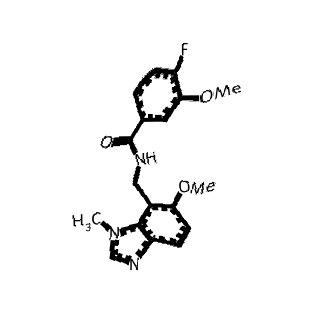 COc1cc(C(=O)NCc2c(OC)ccc3ncn(C)c23)ccc1F